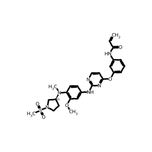 C=CC(=O)Nc1cccc(Oc2ccnc(Nc3ccc(N(C)[C@H]4CCN(S(C)(=O)=O)C4)c(OC)c3)n2)c1